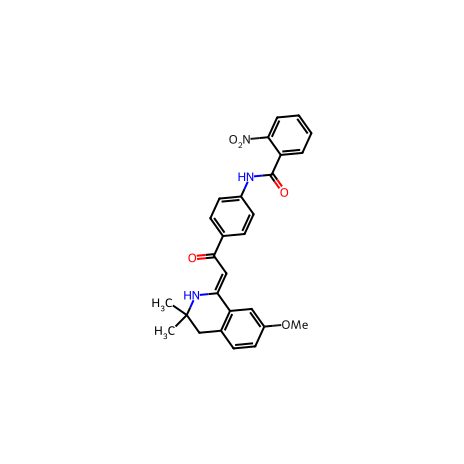 COc1ccc2c(c1)C(=CC(=O)c1ccc(NC(=O)c3ccccc3[N+](=O)[O-])cc1)NC(C)(C)C2